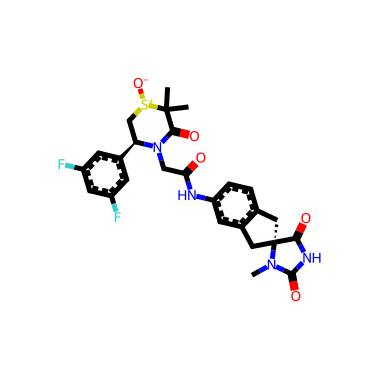 CN1C(=O)NC(=O)[C@@]12Cc1ccc(NC(=O)CN3C(=O)C(C)(C)[S+]([O-])C[C@@H]3c3cc(F)cc(F)c3)cc1C2